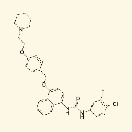 O=C(Nc1ccc(Cl)c(F)c1)Nc1ccc(OCc2ccc(OCCN3CCCCC3)cc2)c2ccccc12